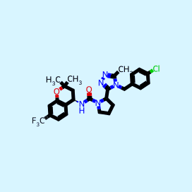 Cc1nnc(C2CCCN2C(=O)N[C@H]2CC(C)(C)Oc3cc(C(F)(F)F)ccc32)n1Cc1ccc(Cl)cc1